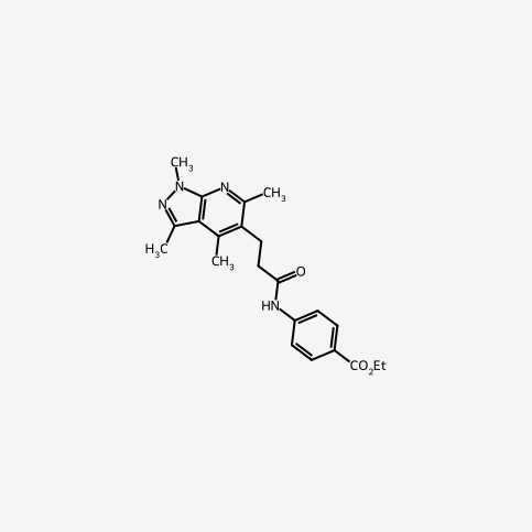 CCOC(=O)c1ccc(NC(=O)CCc2c(C)nc3c(c(C)nn3C)c2C)cc1